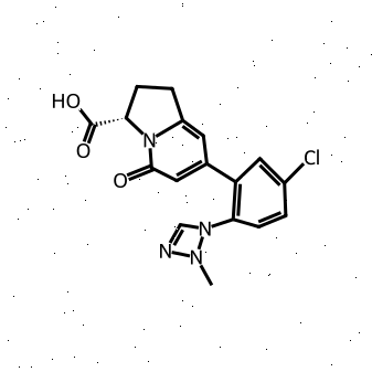 Cn1ncn1-c1ccc(Cl)cc1-c1cc2n(c(=O)c1)[C@H](C(=O)O)CC2